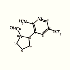 Nc1ncc(C(F)(F)F)cc1C1CCCN1C=O